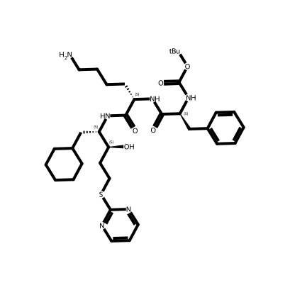 CC(C)(C)OC(=O)N[C@@H](Cc1ccccc1)C(=O)N[C@@H](CCCCN)C(=O)N[C@@H](CC1CCCCC1)[C@@H](O)CCSc1ncccn1